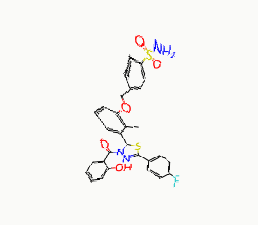 Cc1c(OCc2ccc(S(N)(=O)=O)cc2)cccc1C1SC(c2ccc(F)cc2)=NN1C(=O)c1ccccc1O